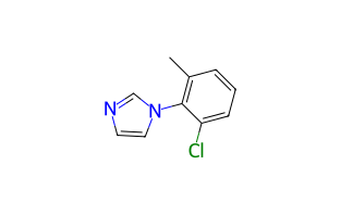 Cc1cccc(Cl)c1-n1ccnc1